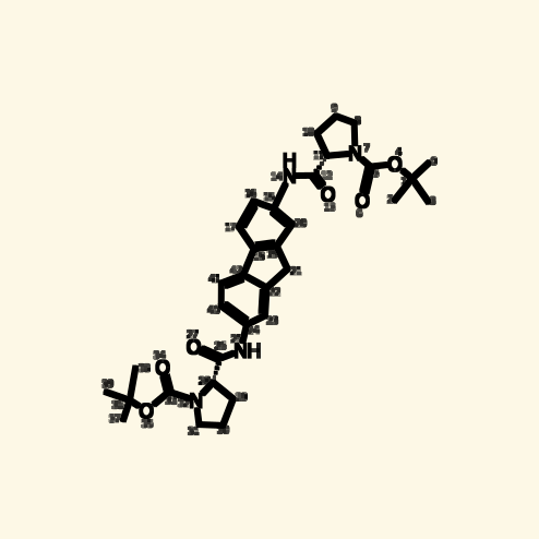 CC(C)(C)OC(=O)N1CCC[C@H]1C(=O)Nc1ccc2c(c1)Cc1cc(NC(=O)[C@@H]3CCCN3C(=O)OC(C)(C)C)ccc1-2